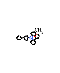 Cc1ccc(N(c2ccc(C3=CC=CCC3)cc2)c2ccccc2-c2ccccc2)cc1